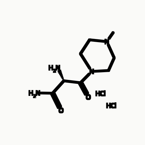 CN1CCN(C(=O)[C@@H](N)C(N)=O)CC1.Cl.Cl